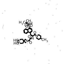 CC1CCN(C(=O)c2nc(C(=O)N3CC4(CCS(O)(O)CC4)C3)oc2-c2ccc(S(=O)(=O)NC(C)(C)C)c3ccccc23)CC1